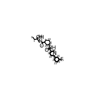 CCC(O)CNC(=O)C1CCCC(NC(=O)c2ccc(-c3cccc(F)c3)nc2)C1